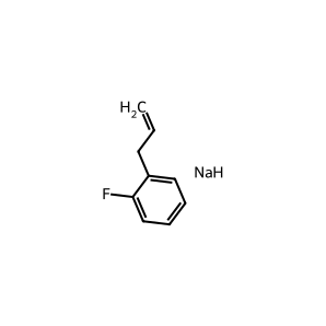 C=CCc1ccccc1F.[NaH]